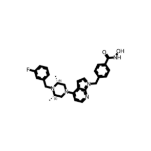 C[C@@H]1CN(c2ccnc3c2ccn3Cc2ccc(C(=O)NO)cc2)C[C@H](C)N1Cc1cccc(F)c1